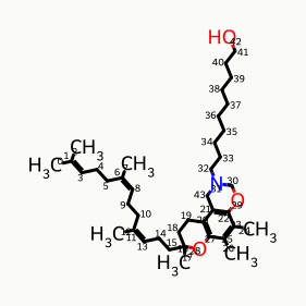 CC(C)=CCCC(C)=CCCC(C)=CCCC1(C)CCc2c3c(c(C)c(C)c2O1)OCN(CCCCCCCCCCO)C3